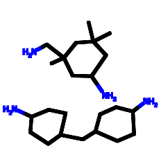 CC1(C)CC(N)CC(C)(CN)C1.NC1CCC(CC2CCC(N)CC2)CC1